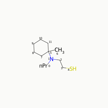 CCCN(CCS)C1(C)CCCCC1